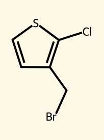 Clc1sccc1CBr